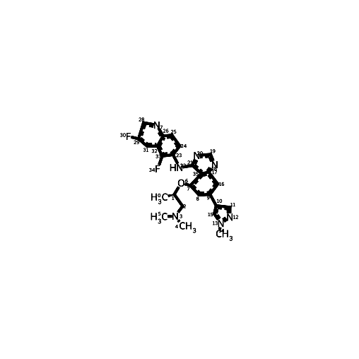 C[C@H](CN(C)C)Oc1cc(-c2cnn(C)c2)cc2ncnc(Nc3ccc4ncc(F)cc4c3F)c12